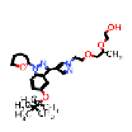 C[C@H](COCCn1cc(-c2nn(C3CCCCO3)c3ccc(O[Si](C)(C)C(C)(C)C)cc23)cn1)OCCO